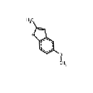 COc1ccc2c(c1)C=C(C)[N]2